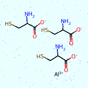 NC(CS)C(=O)[O-].NC(CS)C(=O)[O-].NC(CS)C(=O)[O-].[Al+3]